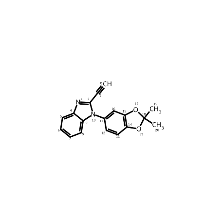 C#Cc1nc2ccccc2n1-c1ccc2c(c1)OC(C)(C)O2